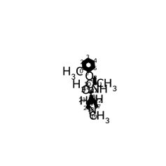 Cc1ccccc1OCC(C)(C)NC(=O)[C@H]1[C@@H]2CN(C)C[C@@H]21